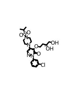 CC(C)S(=O)(=O)N1CCN(c2cnn(-c3cccc(Cl)c3)c(=O)c2OCC[C@@H](O)CO)CC1